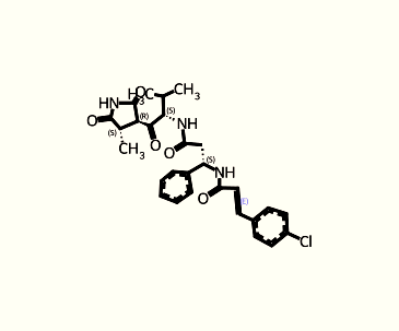 CC(C)[C@H](NC(=O)C[C@H](NC(=O)/C=C/c1ccc(Cl)cc1)c1ccccc1)C(=O)[C@@H]1C(=O)NC(=O)[C@H]1C